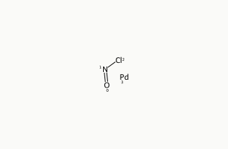 O=NCl.[Pd]